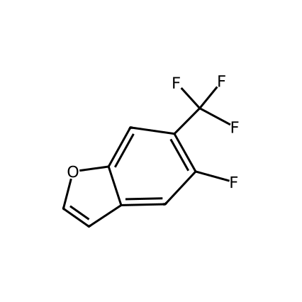 Fc1cc2ccoc2cc1C(F)(F)F